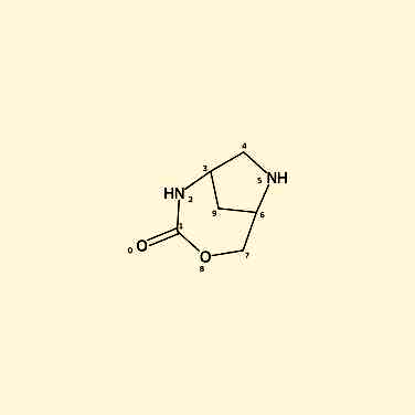 O=C1NC2CNC(CO1)C2